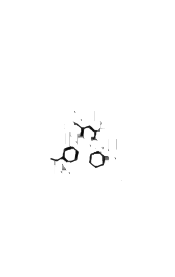 Cc1nn(C)c2ccc(Nc3nc(N[C@H]4CCCC[C@H]4N)c(F)cc3C(N)=O)cc12